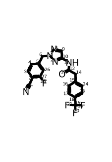 N#Cc1ccc(Cn2ncc(NC(=O)Cc3ccc(C(F)(F)F)cc3)n2)cc1F